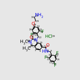 C[C@H]1c2ccc(C(=O)NCc3c(F)cc(F)cc3F)cc2N(Cc2c(F)cc(OCCN)cc2F)C(=O)N1C.Cl